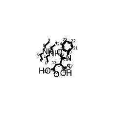 CCNCC.CCNCC.O=C(O)CC(C(O)=S)c1nc2ccccc2o1